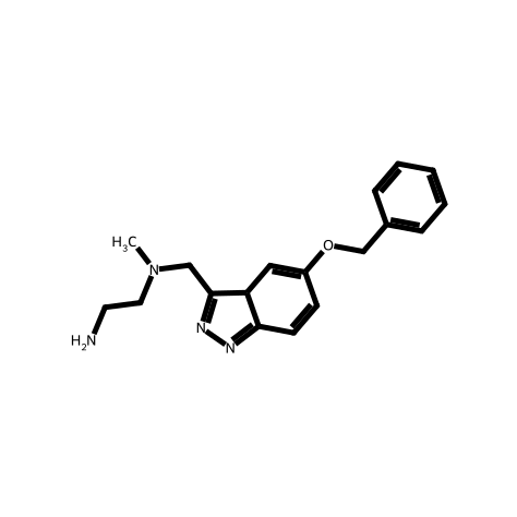 CN(CCN)CC1=NN=C2C=CC(OCc3ccccc3)=CC21